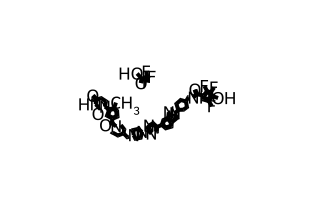 Cc1ccc(C(=O)N2CCC(CN3CCN(c4ncc(-c5ccc6cn(C7CCC(CNC(=O)c8cc(F)c(O)c(F)c8F)CC7)nc6c5)cn4)CC3)CC2)cc1N1CCC(=O)NC1=O.O=C(O)C(F)(F)F